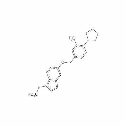 O=C(O)Cn1ccc2cc(OCc3ccc(C4CCCC4)c(C(F)(F)F)c3)ccc21